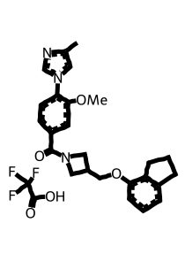 COc1cc(C(=O)N2CC(COc3cccc4c3CCC4)C2)ccc1-n1cnc(C)c1.O=C(O)C(F)(F)F